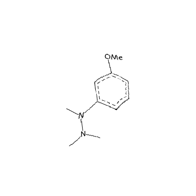 COc1cccc(N(C)N(C)C)c1